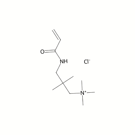 C=CC(=O)NCC(C)(C)C[N+](C)(C)C.[Cl-]